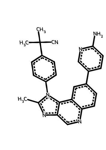 Cc1nc2cnc3ccc(-c4ccc(N)nc4)cc3c2n1-c1ccc(C(C)(C)C#N)cc1